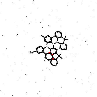 Cc1cc2c3c(c1)N(c1ccc(C(C)(C)C)cc1-c1ccccc1)c1cc4c(cc1B3N1c3ccccc3C(C)(C)c3cccc-2c31)C(C)(C)c1ccccc1-4